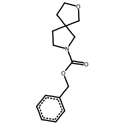 O=C(OCc1ccccc1)N1CCC2(CCOC2)C1